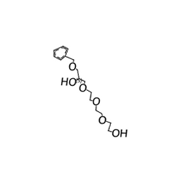 OCCOCCOCCOC[C@@H](O)COCc1ccccc1